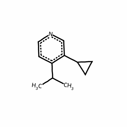 CC(C)c1ccncc1C1CC1